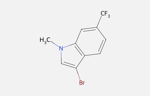 Cn1cc(Br)c2ccc(C(F)(F)F)cc21